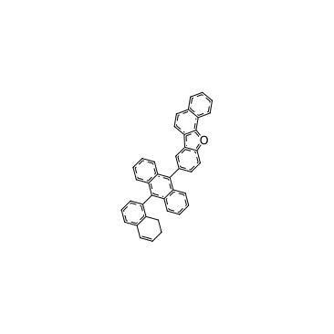 C1=Cc2cccc(-c3c4ccccc4c(-c4ccc5oc6c7ccccc7ccc6c5c4)c4ccccc34)c2CC1